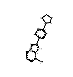 CC(C)(C)c1cccn2cc(-c3ccc(N4CCCC4)cc3)nc12